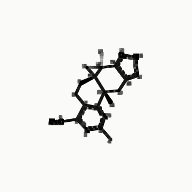 COc1nc(C)nc2c1CC[C@@]13C[C@@]1(C)c1oncc1C[C@]23C